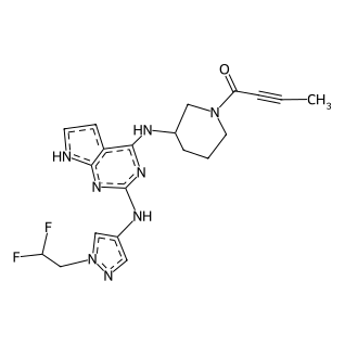 CC#CC(=O)N1CCCC(Nc2nc(Nc3cnn(CC(F)F)c3)nc3[nH]ccc23)C1